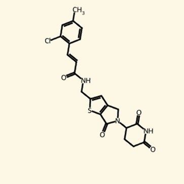 Cc1ccc(C=CC(=O)NCc2cc3c(s2)C(=O)N(C2CCC(=O)NC2=O)C3)c(Cl)c1